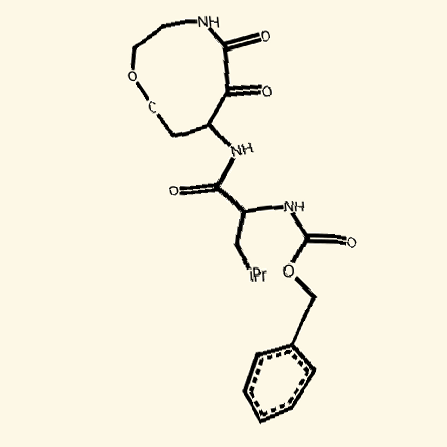 CC(C)CC(NC(=O)OCc1ccccc1)C(=O)NC1CCOCCNC(=O)C1=O